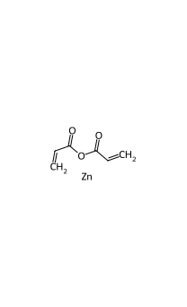 C=CC(=O)OC(=O)C=C.[Zn]